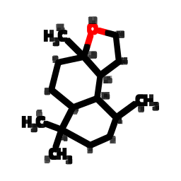 CC1CCC(C)(C)C2CCC3(C)OCCC3C12